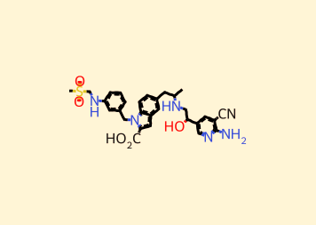 CC(Cc1ccc2c(c1)cc(C(=O)O)n2Cc1cccc(NCS(C)(=O)=O)c1)NCC(O)c1cnc(N)c(C#N)c1